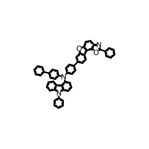 c1ccc(-c2ccc(N(c3ccc(-c4ccc5c(c4)oc4ccc6nc(-c7ccccc7)oc6c45)cc3)c3cccc4c3c3ccccc3n4-c3ccccc3)cc2)cc1